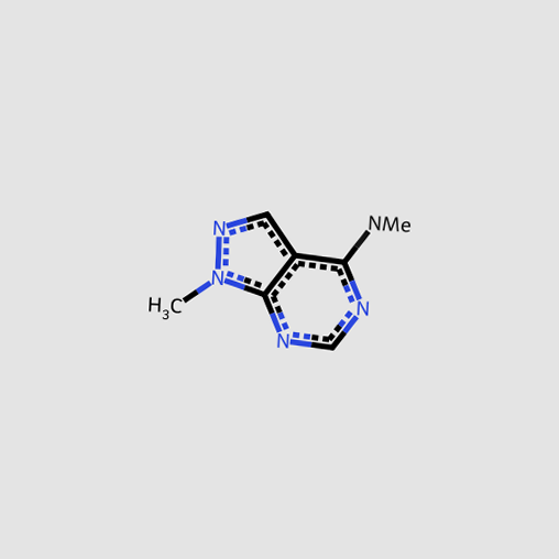 CNc1ncnc2c1cnn2C